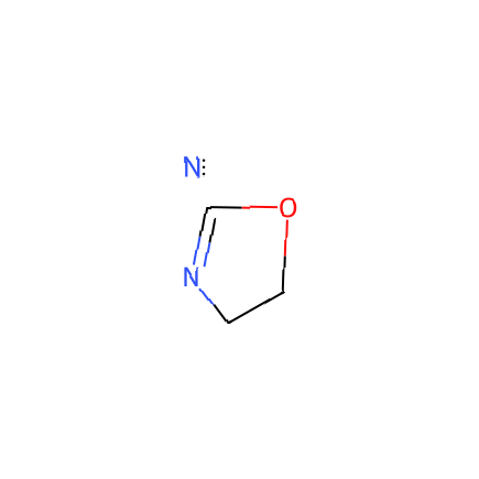 C1=NCCO1.[N]